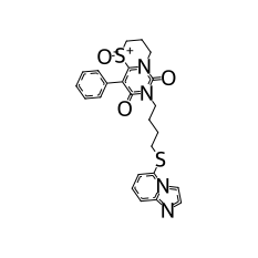 O=c1c(-c2ccccc2)c2n(c(=O)n1CCCCSc1cccc3nccn13)CCC[S+]2[O-]